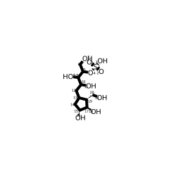 O=S(=O)(O)OC(CO)C(O)C(O)CC1C[C@@H](O)[C@H](O)[C@H]1CO